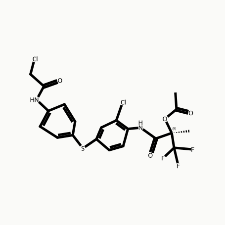 CC(=O)O[C@](C)(C(=O)Nc1ccc(Sc2ccc(NC(=O)CCl)cc2)cc1Cl)C(F)(F)F